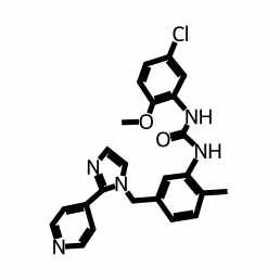 COc1ccc(Cl)cc1NC(=O)Nc1cc(Cn2ccnc2-c2ccncc2)ccc1C